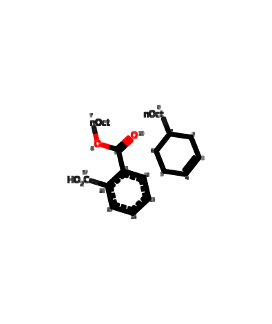 CCCCCCCCC1CC=CCC1.CCCCCCCCOC(=O)c1ccccc1C(=O)O